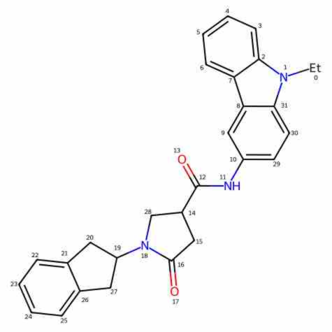 CCn1c2ccccc2c2cc(NC(=O)C3CC(=O)N(C4Cc5ccccc5C4)C3)ccc21